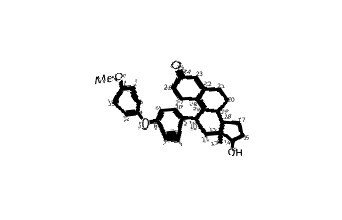 COc1ccc(Oc2ccc(C3CC4(C)C(O)CCC4C4CCC5=CC(=O)CCC5=C34)cc2)cc1